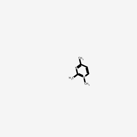 Cc1cc[n+](C)c(C)n1